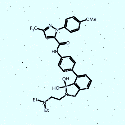 CCN(CC)CCN1Cc2cccc(-c3ccc(NC(=O)c4cc(C(F)(F)F)nn4-c4ccc(OC)cc4)cc3)c2S1(O)O